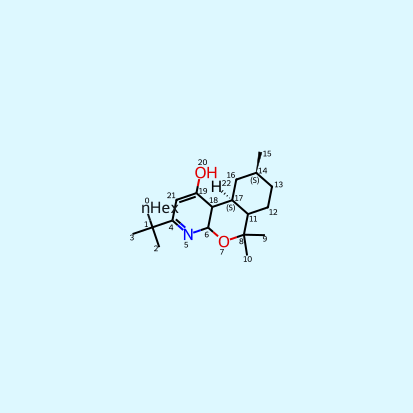 CCCCCCC(C)(C)C1=NC2OC(C)(C)C3CC[C@H](C)C[C@@H]3C2C(O)=C1